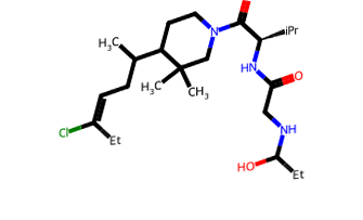 CC/C(Cl)=C\CC(C)C1CCN(C(=O)[C@H](NC(=O)CNC(O)CC)C(C)C)CC1(C)C